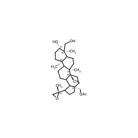 CC(=O)OC[C@]12CCC([C@@]3(C)CO3)C1C1CCC3[C@@]4(C)CC[C@H](O)[C@@](C)(CO)C4CC[C@@]3(C)[C@]1(C)CC2